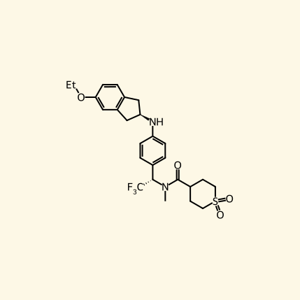 CCOc1ccc2c(c1)C[C@H](Nc1ccc([C@H](N(C)C(=O)C3CCS(=O)(=O)CC3)C(F)(F)F)cc1)C2